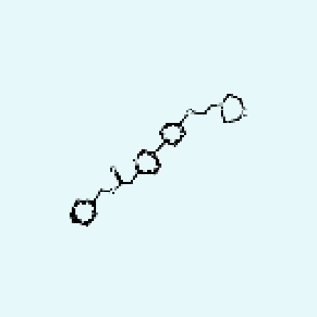 O=C(Cc1ccc(-c2ccc(OCCN3CCOCC3)cc2)cn1)NCc1cc#ccc1